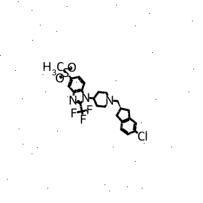 CS(=O)(=O)c1ccc2c(c1)nc(C(F)(F)F)n2C1CCN(C[C@@H]2Cc3ccc(Cl)cc3C2)CC1